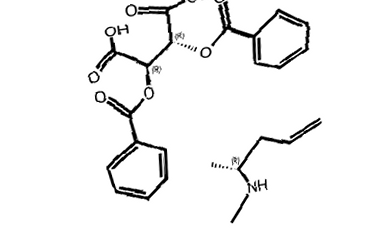 C=CC[C@@H](C)NC.O=C(O[C@@H](C(=O)O)[C@@H](OC(=O)c1ccccc1)C(=O)O)c1ccccc1